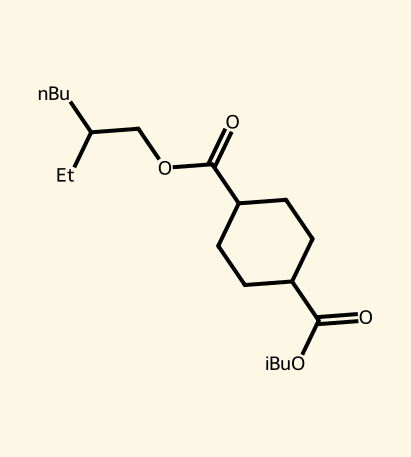 CCCCC(CC)COC(=O)C1CCC(C(=O)OCC(C)C)CC1